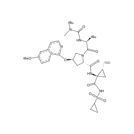 C=C[C@@H]1C[C@]1(NC(=O)[C@@H]1C[C@@H](Oc2nccc3cc(OC)ccc23)CN1C(=O)[C@@H](NC(=O)N(C)C(C)(C)C)C(C)(C)C)C(=O)NS(=O)(=O)C1CC1